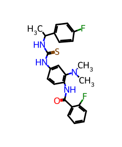 CC(NC(=S)Nc1ccc(NC(=O)c2ccccc2F)c(N(C)C)c1)c1ccc(F)cc1